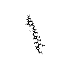 Nc1nc(C(=NO)C(=O)NC2C(=O)N3CC(C=CSc4cc(=O)c5cc(Cl)sc5s4)(C(=O)O)CS[C@H]23)cs1